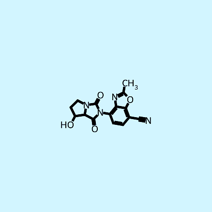 Cc1nc2c(N3C(=O)C4C(O)CCN4C3=O)ccc(C#N)c2o1